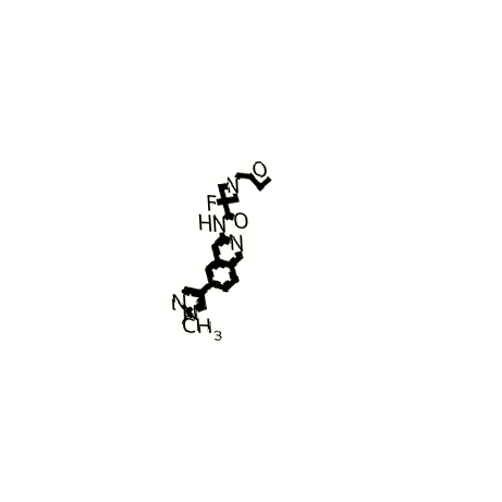 Cn1cc(-c2ccc3cnc(NC(=O)C4(F)CN(CC5CCO5)C4)cc3c2)cn1